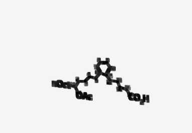 CCCCCCCCC(CCCCc1ccccc1CCCCC(=O)O)OC(C)=O